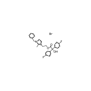 Cc1n(CCOC(=O)C(O)(c2ccc(F)cc2)c2ccc(F)cc2)cc[n+]1Cc1ccccc1.[Br-]